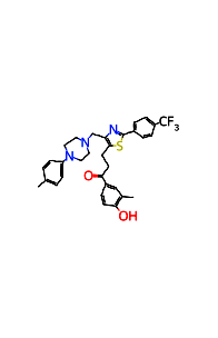 Cc1ccc(N2CCN(Cc3nc(-c4ccc(C(F)(F)F)cc4)sc3CCC(=O)c3ccc(O)c(C)c3)CC2)cc1